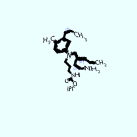 C=C/C=C(\C=C/N)CN(CCCNC(=O)OC(C)C)c1ccc(C)c(/C=C\C)c1